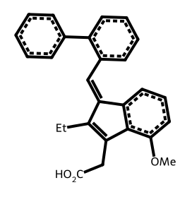 CCC1=C(CC(=O)O)c2c(OC)cccc2/C1=C\c1ccccc1-c1ccccc1